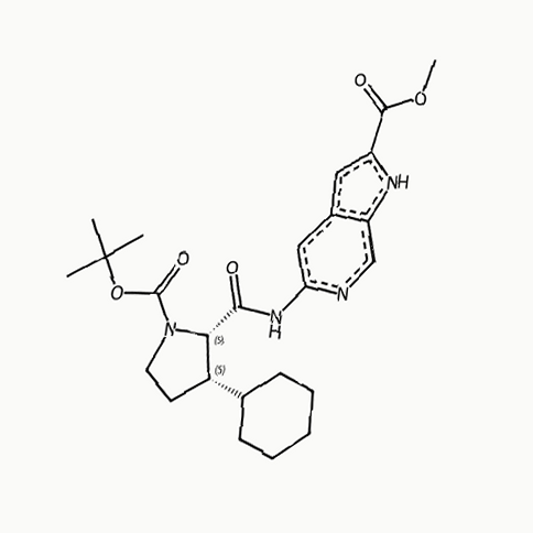 COC(=O)c1cc2cc(NC(=O)[C@@H]3[C@H](C4CCCCC4)CCN3C(=O)OC(C)(C)C)ncc2[nH]1